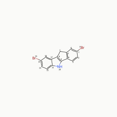 Brc1ccc2c(c1)Cc1c-2[nH]c2ccc(Br)cc12